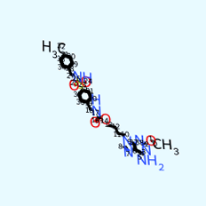 COc1nc(N)c2ncn(CCCCOC(=O)NCc3ccc(S(=O)(=O)NCc4ccc(C)cc4)cc3)c2n1